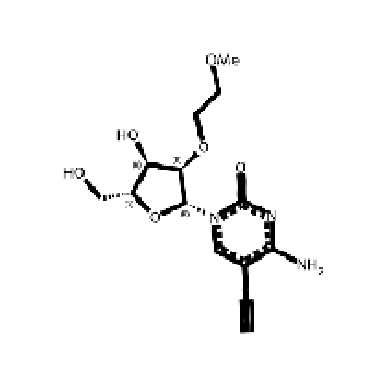 C#Cc1cn([C@@H]2O[C@H](CO)[C@@H](O)[C@H]2OCCOC)c(=O)nc1N